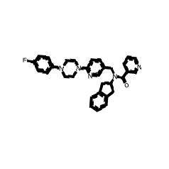 O=C(c1cccnc1)N(Cc1ccc(N2CCN(c3ccc(F)cc3)CC2)nc1)C1Cc2ccccc2C1